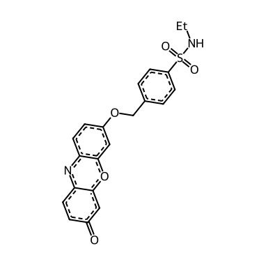 CCNS(=O)(=O)c1ccc(COc2ccc3nc4ccc(=O)cc-4oc3c2)cc1